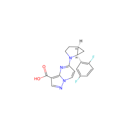 O=C(O)c1cnn2ccc(N3CC[C@H]4C[C@]43c3cc(F)ccc3F)nc12